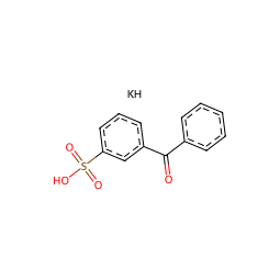 O=C(c1ccccc1)c1cccc(S(=O)(=O)O)c1.[KH]